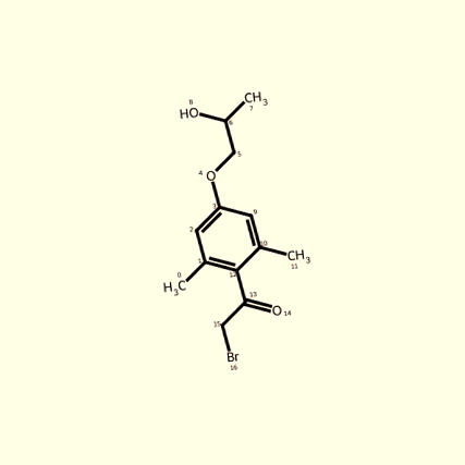 Cc1cc(OCC(C)O)cc(C)c1C(=O)CBr